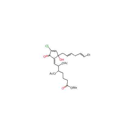 CCC=CCC=CCC1(O)C=C(Cl)C(=O)C1=CC(OC(C)=O)C(CCCC(=O)OC)OC(C)=O